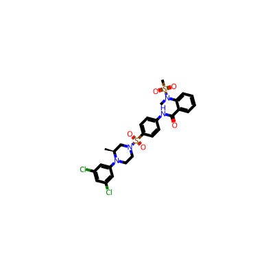 C[C@H]1CN(S(=O)(=O)c2ccc(NC(=O)c3ccccc3N(C)S(C)(=O)=O)cc2)CCN1c1cc(Cl)cc(Cl)c1